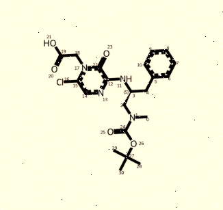 CN(C[C@H](Cc1ccccc1)Nc1ncc(Cl)n(CC(=O)O)c1=O)C(=O)OC(C)(C)C